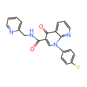 O=C(NCc1ccccn1)c1cn(-c2ccc(F)cc2)c2ncccc2c1=O